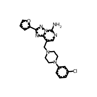 Nc1ncc(CN2CCN(c3cccc(Cl)c3)CC2)c2nc(-c3ccco3)nn12